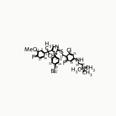 COc1cc(C(C)(C)c2cnc(SCc3c(F)cc(NCC[N+](C)(C)C)cc3Cl)n2-c2ccc(F)cc2)ccc1F.[Br-]